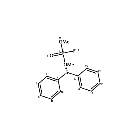 COP(=O)(F)OC.c1ccc(Sc2ccccc2)cc1